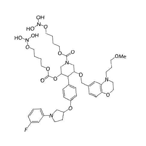 COCCCN1CCOc2ccc(COC3CN(C(=O)OCCCCON(O)O)CC(OC(=O)OCCCCON(O)O)C3c3ccc(OC4CCN(c5cccc(F)c5)C4)cc3)cc21